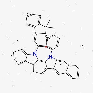 CC1(C)c2ccccc2-c2cc(-n3c4ccccc4c4ccc5c6cc7ccccc7cc6n(-c6ccccc6)c5c43)ccc21